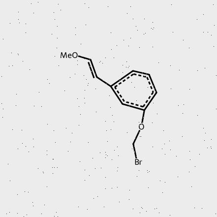 CO/C=C/c1cccc(OCBr)c1